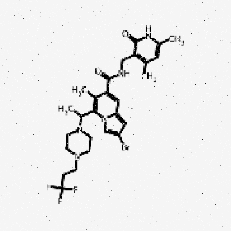 Cc1cc(C)c(CNC(=O)c2cc3cc(Br)cn3c(C(C)N3CCN(CCC(F)(F)F)CC3)c2C)c(=O)[nH]1